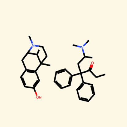 CC1C2Cc3ccc(O)cc3C1(C)CCN2C.CCC(=O)C(CC(C)N(C)C)(c1ccccc1)c1ccccc1